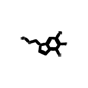 CCCOCn1ccc2c(Cl)c(F)c(CC)cc21